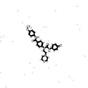 O=C(Nc1ccc(OC(F)(F)F)cc1)c1ccc(N(CCN2CCOCC2)C(=O)Nc2ccc(Cl)cc2)cc1